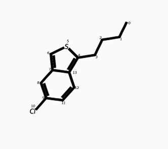 [CH2]CCCc1scc2cc(Cl)ccc12